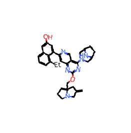 C=C1CN2CCCC2(COc2nc(N3CC4CCC(C3)N4)c3cnc(-c4cc(O)cc5cccc(CC)c45)cc3n2)C1